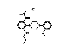 CCCNc1cccc(C(=O)N(C)C)c1N1CCN(c2ccccc2OC)CC1.Cl